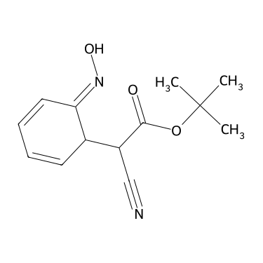 CC(C)(C)OC(=O)C(C#N)C1C=CC=CC1=NO